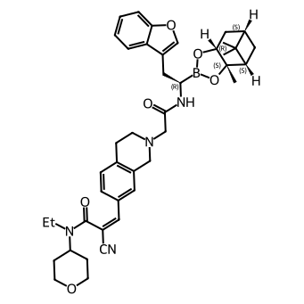 CCN(C(=O)C(C#N)=Cc1ccc2c(c1)CN(CC(=O)N[C@@H](Cc1coc3ccccc13)B1O[C@@H]3C[C@@H]4C[C@@H](C4(C)C)[C@]3(C)O1)CC2)C1CCOCC1